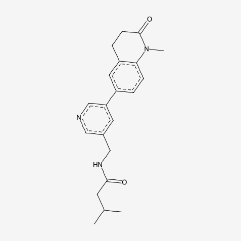 CC(C)CC(=O)NCc1cncc(-c2ccc3c(c2)CCC(=O)N3C)c1